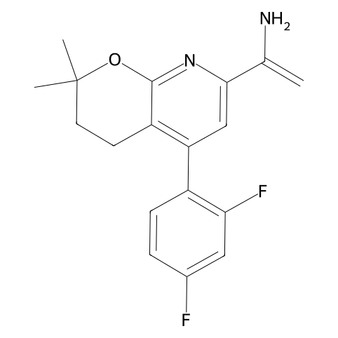 C=C(N)c1cc(-c2ccc(F)cc2F)c2c(n1)OC(C)(C)CC2